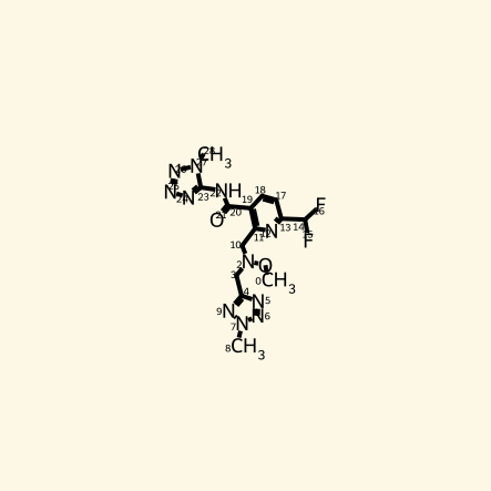 CON(Cc1nnn(C)n1)Cc1nc(C(F)F)ccc1C(=O)Nc1nnnn1C